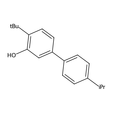 CC(C)c1ccc(-c2ccc(C(C)(C)C)c(O)c2)cc1